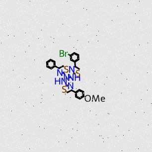 COc1ccc(C2CSC(NN(NC3=NC(c4cccc(Br)c4)CS3)C3=NC(c4ccccc4)CS3)=N2)cc1